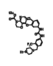 CCN1CCN(Cc2ccc(NC(=O)Nc3ccc(Cl)c(Oc4ncnc5c4OCCN5C(=O)OC(C)(C)C)c3)cc2C(F)(F)F)CC1